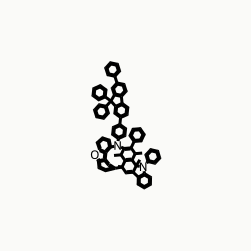 CC1C2=C(c3ccccc3)C(C)C3=C1C(C)(C=C1c4ccccc4N(c4ccccc4)C13C)c1ccc3oc4cccc(c4c3c1)N2c1ccc(-c2ccc3c(c2)C(c2ccccc2)(c2ccccc2)c2cc(-c4ccccc4)ccc2-3)cc1